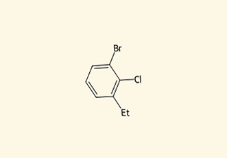 CCc1cccc(Br)c1Cl